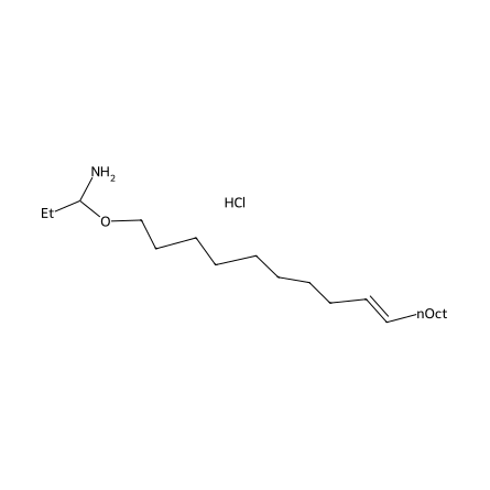 CCCCCCCCC=CCCCCCCCCOC(N)CC.Cl